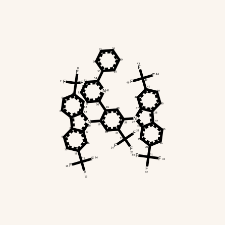 FC(F)(F)c1ccc2c3ccc(C(F)(F)F)cc3n(-c3cc(C(F)(F)F)c(-n4c5cc(C(F)(F)F)ccc5c5ccc(C(F)(F)F)cc54)cc3-c3cccc(-c4ccccc4)n3)c2c1